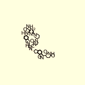 CN1CCN([C@@H]2CCCN(c3cnc(C(N)=O)c(Nc4ccc5c(c4)CN(C4CN(C[C@@H]6Cc7ccc8c(C9CCC(=O)NC9=O)noc8c7C6)C4)C5)n3)C2)C1=O